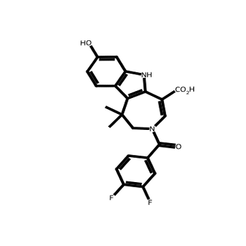 CC1(C)CN(C(=O)c2ccc(F)c(F)c2)C=C(C(=O)O)c2[nH]c3cc(O)ccc3c21